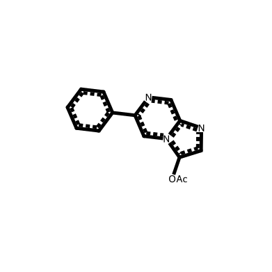 CC(=O)Oc1cnc2cnc(-c3ccccc3)cn12